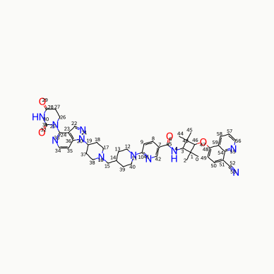 CC1(C)C(NC(=O)c2ccc(N3CCC(CN4CCC(n5ncc6c(N7CCC(=O)NC7=O)nccc65)CC4)CC3)nc2)C(C)(C)C1Oc1ccc(C#N)c2ncccc12